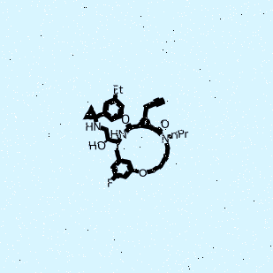 C#CCC1C2C(=O)N[C@H]([C@H](O)CNC3(c4cccc(CC)c4)CC3)Cc3cc(F)cc(c3)OCCCCN(CCC)C(=O)C12